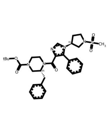 CC(C)(C)OC(=O)N1CCN(C(=O)c2ncn([C@H]3CCN(S(C)(=O)=O)C3)c2-c2ccccc2)[C@H](Cc2ccccc2)C1